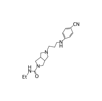 CCNC(=O)N1CC2CN(CCCNc3ccc(C#N)cc3)CC2C1